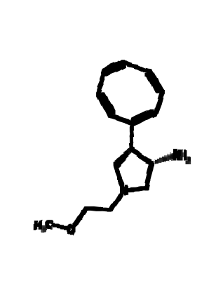 COCCN1C[C@@H](N)[C@H](C2=C/C=C\C=C/C=C\2)C1